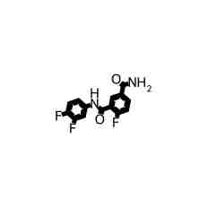 NC(=O)c1ccc(F)c(C(=O)Nc2ccc(F)c(F)c2)c1